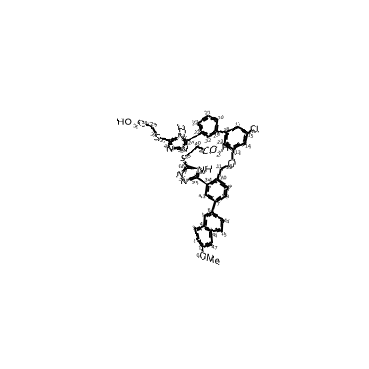 COc1ccc2cc(-c3ccc(COc4cc(Cl)cc(-c5cccc(-c6nnc(SCC(=O)O)[nH]6)c5)c4)c(-c4nnc(SCC(=O)O)[nH]4)c3)ccc2c1